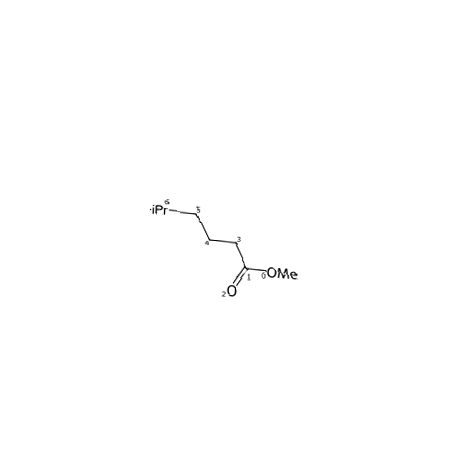 COC(=O)CCC[C](C)C